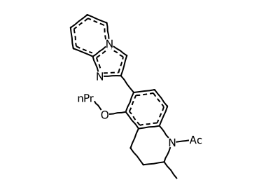 CCCOc1c(-c2cn3ccccc3n2)ccc2c1CCC(C)N2C(C)=O